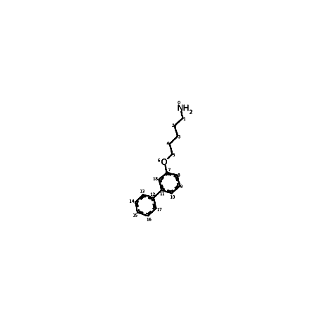 NCCCCCOc1cccc(-c2ccccc2)c1